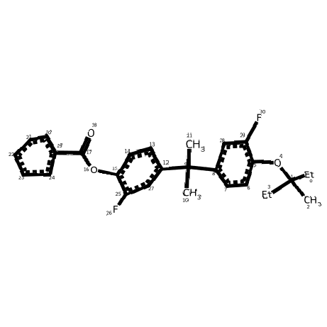 CCC(C)(CC)Oc1ccc(C(C)(C)c2ccc(OC(=O)c3ccccc3)c(F)c2)cc1F